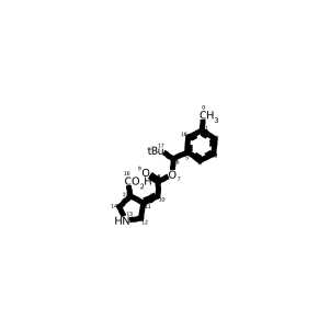 Cc1cccc(C(OC(=O)C=C2CNCC2C(=O)O)C(C)(C)C)c1